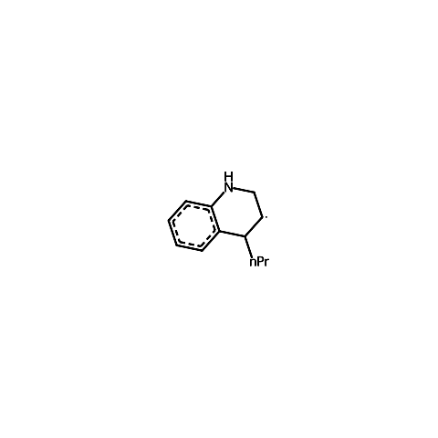 CCCC1[CH]CNc2ccccc21